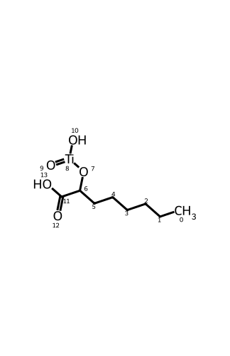 CCCCCCC([O][Ti](=[O])[OH])C(=O)O